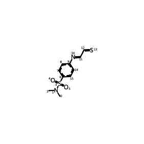 CN(C)S(=O)(=O)c1ccc(N=CC=S)cc1